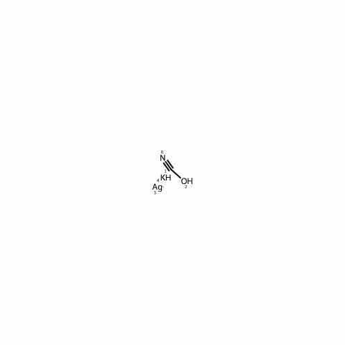 N#CO.[Ag].[KH]